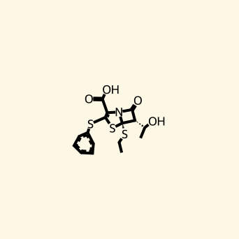 CCS[C@]12SC(Sc3ccccc3)=C(C(=O)O)N1C(=O)[C@@H]2C(C)O